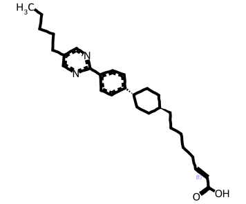 CCCCCc1cnc(-c2ccc([C@H]3CC[C@H](CCCCC/C=C/C(=O)O)CC3)cc2)nc1